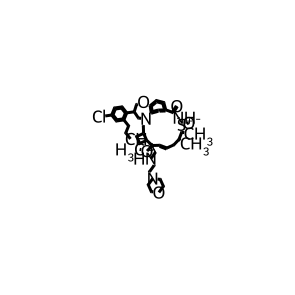 CCCc1cc(Cl)ccc1C1COc2ccc3cc2N(C1)CC1CCC1[C@@](CNCCN1CCOCC1)(OC)/C=C/CC(C)C(C)[S+]([O-])NC3=O